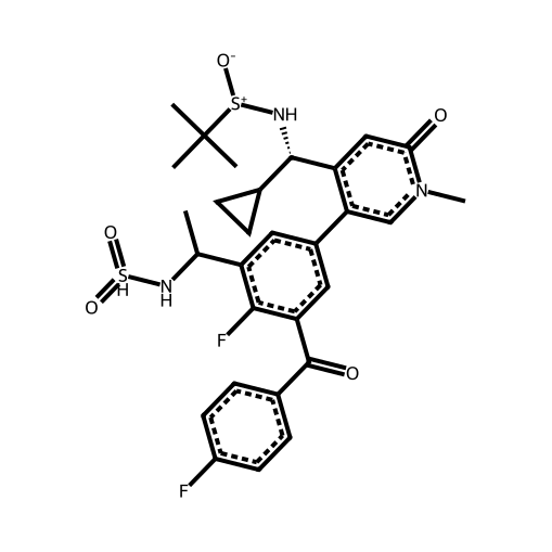 CC(N[SH](=O)=O)c1cc(-c2cn(C)c(=O)cc2[C@@H](N[S+]([O-])C(C)(C)C)C2CC2)cc(C(=O)c2ccc(F)cc2)c1F